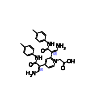 Cc1ccc(NC(=O)/C(=C\N)c2cc[n+](CC(=O)O)c(/C(=C/N)C(=O)Nc3ccc(C)cc3)c2)cc1